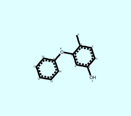 Cc1ccc(O)cc1Oc1ccccc1